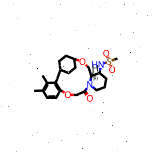 Cc1ccc2c(c1C)C1CCC(CC1)OC[C@H]1C(NS(C)(=O)=O)CCCN1C(=O)CO2